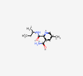 CCC(C)NC(=O)c1ncc(C)cc1C(N)=O